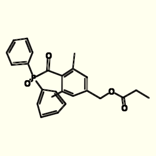 CCC(=O)OCc1cc(C)c(C(=O)P(=O)(c2ccccc2)c2ccccc2)c(C)c1